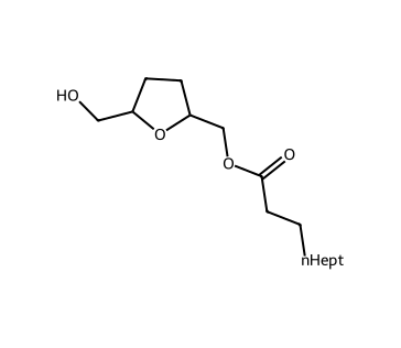 CCCCCCCCCC(=O)OCC1CCC(CO)O1